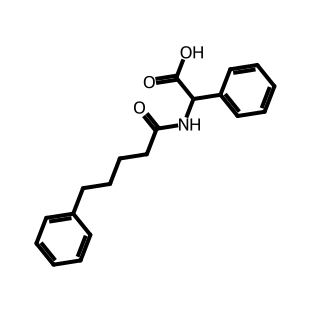 O=C(CCCCc1ccccc1)NC(C(=O)O)c1ccccc1